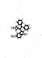 N#Cc1ccc2[nH]cc(C(C3CNC3)C(c3ccccc3)c3ccccc3)c2c1